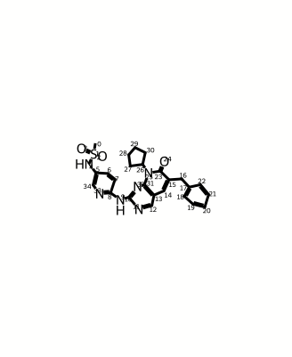 CS(=O)(=O)Nc1ccc(Nc2ncc3cc(Cc4ccccc4)c(=O)n(C4CCCC4)c3n2)nc1